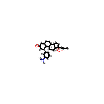 CC#C[C@]1(O)CCC2C3CCC4=CC(=O)CCC4=C3[C@@H](c3ccc(N(C)C)cc3)C[C@@]21C